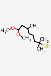 COC(CC(C)CCCC(C)(C)S)OC